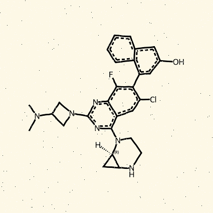 CN(C)C1CN(c2nc(N3CCNC4C[C@H]43)c3cc(Cl)c(-c4cc(O)cc5ccccc45)c(F)c3n2)C1